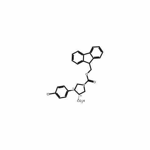 O=C(O)[C@H]1CN(C(=O)OCC2c3ccccc3-c3ccccc32)C[C@@H]1c1ccc(Cl)cc1